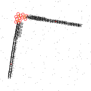 O=S(=O)([O-])[O-].O=S(=O)([O-])[O-].O=S(=O)([O-])[O-].[Al+3].[Al+3].[Al+3].[Al+3].[Al+3].[Al+3].[Al+3].[Al+3].[Al+3].[Al+3].[Al+3].[Al+3].[Al+3].[Al+3].[Al+3].[Al+3].[Al+3].[Al+3].[Al+3].[Al+3].[H-].[H-].[H-].[H-].[H-].[H-].[H-].[H-].[H-].[H-].[H-].[H-].[H-].[H-].[H-].[H-].[H-].[H-].[H-].[H-].[H-].[H-].[H-].[H-].[H-].[H-].[H-].[H-].[H-].[H-].[H-].[H-].[H-].[H-].[H-].[H-].[H-].[H-].[H-].[H-].[H-].[H-].[H-].[H-].[H-].[H-].[H-].[H-].[H-].[H-].[H-].[H-].[H-].[H-]